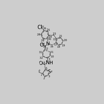 Cc1ccsc1C(=O)Nc1ccc(C(=O)N2Cc3ccccc3Cc3cc(Cl)ccc32)cc1